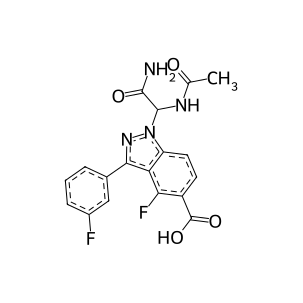 CC(=O)NC(C(N)=O)n1nc(-c2cccc(F)c2)c2c(F)c(C(=O)O)ccc21